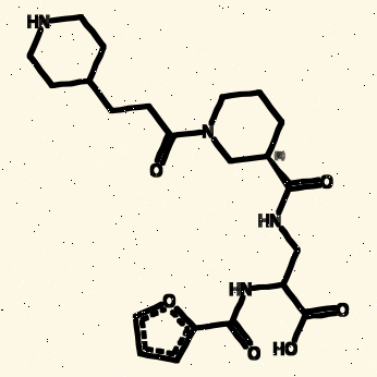 O=C(NC(CNC(=O)[C@@H]1CCCN(C(=O)CCC2CCNCC2)C1)C(=O)O)c1ccco1